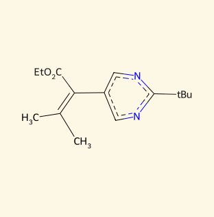 CCOC(=O)C(=C(C)C)c1cnc(C(C)(C)C)nc1